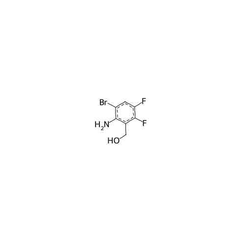 Nc1c(Br)cc(F)c(F)c1CO